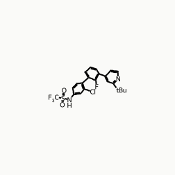 CC(C)(C)c1cc(-c2cccc(-c3ccc(NS(=O)(=O)C(F)(F)F)cc3Cl)c2F)ccn1